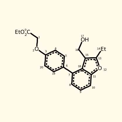 CCOC(=O)COc1ccc(-c2cccc3oc(CC)c(CO)c23)cc1